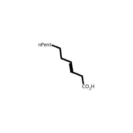 CCCCCCCC=CCC(=O)O